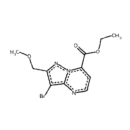 CCOC(=O)c1ccnc2c(Br)c(COC)nn12